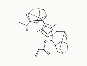 C=CC(=O)OC1C2CC3CC(CC(C3)CC13CCC(C1C4CC5CC(C4)C(OC(=O)C(=C)C)(C4CCCC4C)C1C5)C3C)C2